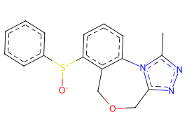 Cc1nnc2n1-c1cccc([S+]([O-])c3ccccc3)c1COC2